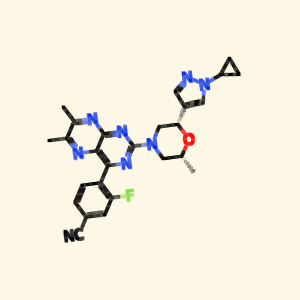 Cc1nc2nc(N3C[C@@H](C)O[C@@H](c4cnn(C5CC5)c4)C3)nc(-c3ccc(C#N)cc3F)c2nc1C